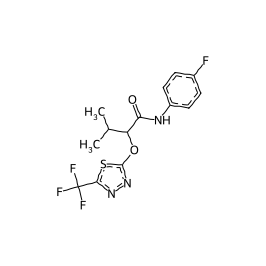 CC(C)C(Oc1nnc(C(F)(F)F)s1)C(=O)Nc1ccc(F)cc1